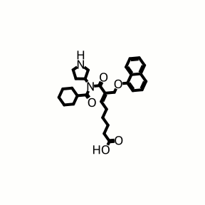 O=C(O)CCCC/C=C(\COc1cccc2ccccc12)C(=O)N(C(=O)C1CCCCC1)C1CCNC1